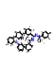 C=C(/N=C(\N=C(/C)c1ccccc1)c1cccc(-c2ccc3c4ccccc4n(-c4ccccc4)c3c2)c1)c1ccccc1